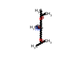 CCCCCC(CCCCC)CC(=O)OCCCCCCCCCC(CCCCCCCCCOC(=O)CC(CCCCC)CCCCC)NC(=O)CN(C)C